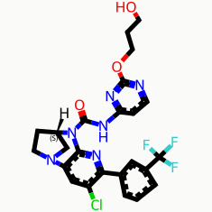 O=C(Nc1ccnc(OCCCO)n1)N1c2nc(-c3cccc(C(F)(F)F)c3)c(Cl)cc2N2CC[C@H]1C2